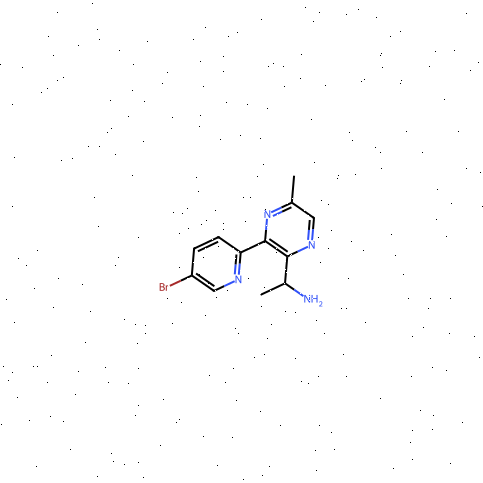 Cc1cnc(C(C)N)c(-c2ccc(Br)cn2)n1